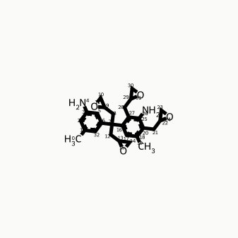 Cc1cc(N)cc(C(CC2CO2)(CC2CO2)c2cc(C)c(CC3CO3)c(N)c2CC2CO2)c1